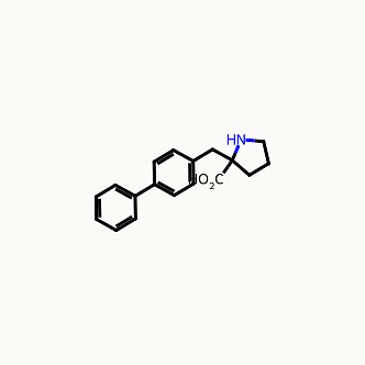 O=C(O)C1(Cc2ccc(-c3ccccc3)cc2)CCCN1